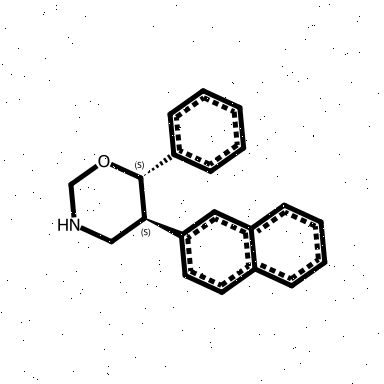 c1ccc([C@H]2OCNC[C@@H]2c2ccc3ccccc3c2)cc1